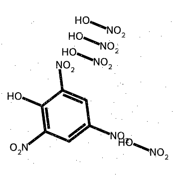 O=[N+]([O-])O.O=[N+]([O-])O.O=[N+]([O-])O.O=[N+]([O-])O.O=[N+]([O-])c1cc([N+](=O)[O-])c(O)c([N+](=O)[O-])c1